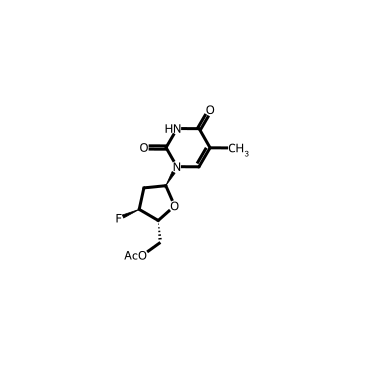 CC(=O)OC[C@H]1O[C@H](n2cc(C)c(=O)[nH]c2=O)C[C@@H]1F